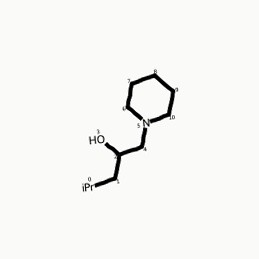 CC(C)CC(O)CN1CCCCC1